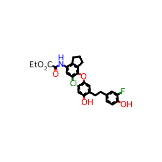 CCOC(=O)C(=O)Nc1cc(Cl)c(Oc2ccc(O)c(CCc3ccc(O)c(F)c3)c2)c2c1CCC2